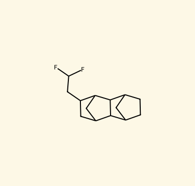 FC(F)CC1CC2CC1C1C3CCC(C3)C21